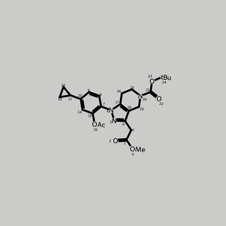 COC(=O)Cc1nn(-c2ccc(C3CC3)cc2OC(C)=O)c2c1CN(C(=O)OC(C)(C)C)CC2